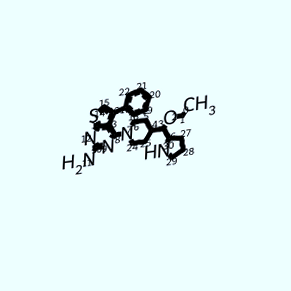 CCOC(C1CCN(c2nc(N)nc3scc(-c4ccccc4)c23)CC1)C1CCCN1